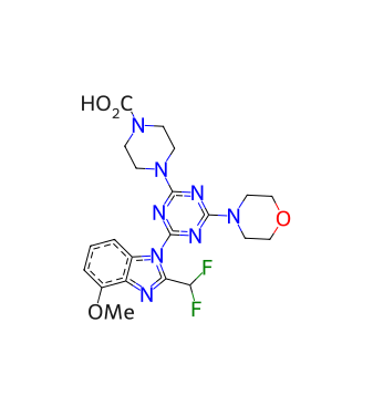 COc1cccc2c1nc(C(F)F)n2-c1nc(N2CCOCC2)nc(N2CCN(C(=O)O)CC2)n1